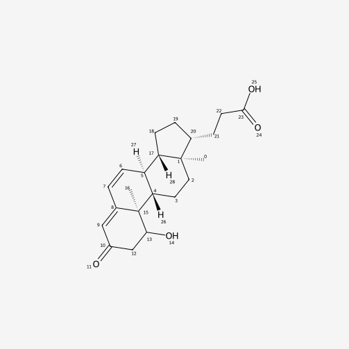 C[C@]12CC[C@H]3[C@@H](C=CC4=CC(=O)CC(O)[C@@]43C)[C@@H]1CC[C@@H]2CCC(=O)O